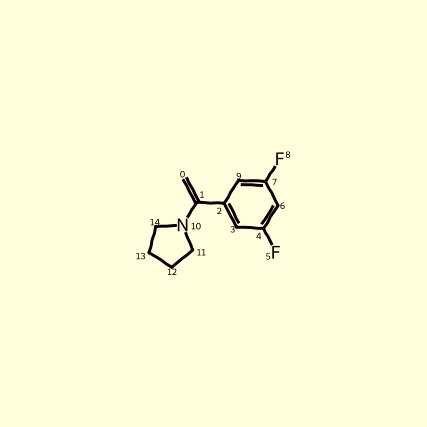 C=C(c1cc(F)cc(F)c1)N1CCCC1